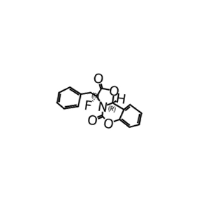 O=C1Oc2ccccc2[C@H]2OC(=O)[C@](F)(Cc3ccccc3)N12